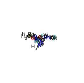 CN1CCN(c2ccc(-c3cc(CNC4CCC(F)(F)CC4)ccc3F)cc2NC(=O)c2cnc(OCCS(C)(C)C)cc2C(F)(F)F)CC1